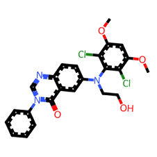 COc1cc(OC)c(Cl)c(N(CCO)c2ccc3ncn(-c4ccccc4)c(=O)c3c2)c1Cl